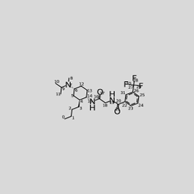 CCCC[C@H]1C[C@H](N(C)C(C)C)CC[C@@H]1NC(=O)CNC(=O)c1cccc(C(F)(F)F)c1